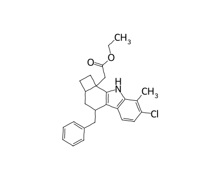 CCOC(=O)CC12CCC1CC(Cc1ccccc1)c1c2[nH]c2c(C)c(Cl)ccc12